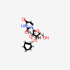 O=c1ccn([C@@H]2O[C@H](CO)[C@H]3OB(c4ccccc4)O[C@H]32)c(=O)[nH]1